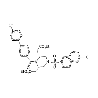 CCOC(=O)C[C@@H]1CN(S(=O)(=O)c2ccc3cc(Cl)ccc3c2)C[C@H](CC(=O)OCC)N1C(=O)c1ccc(-c2cc[n+]([O-])cc2)cc1